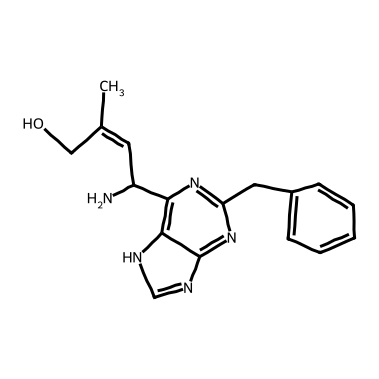 CC(=CC(N)c1nc(Cc2ccccc2)nc2nc[nH]c12)CO